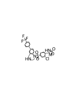 O=c1[nH]c(-c2ccc(S(=O)(=O)N3CCNCc4cc(-c5ccc(C(F)(F)F)cc5)ccc43)cc2Cl)no1